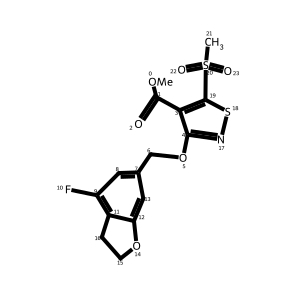 COC(=O)c1c(OCc2cc(F)c3c(c2)OCC3)nsc1S(C)(=O)=O